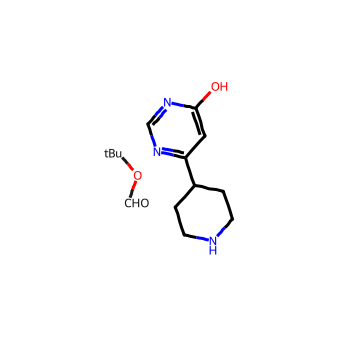 CC(C)(C)OC=O.Oc1cc(C2CCNCC2)ncn1